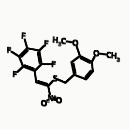 COc1ccc(CSC(=Cc2c(F)c(F)c(F)c(F)c2F)[N+](=O)[O-])cc1OC